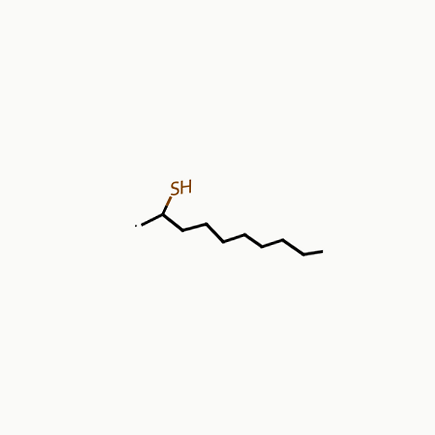 [CH2]C(S)CCCCCCCC